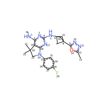 CNc1nc(NC23CC(c4nnc(C)o4)(C2)C3)nc2c1C(C)(C)CN2c1ccc(F)cc1